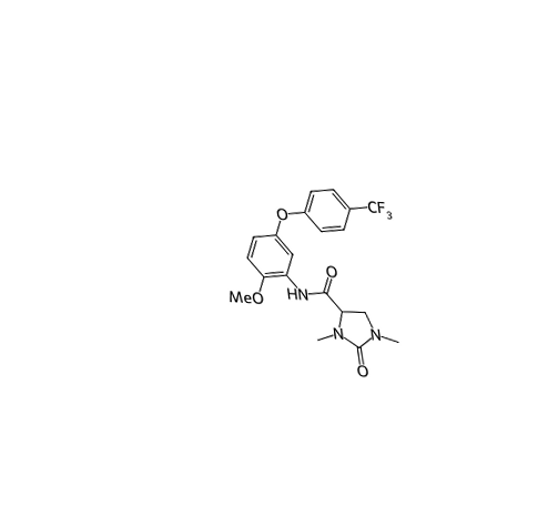 COc1ccc(Oc2ccc(C(F)(F)F)cc2)cc1NC(=O)C1CN(C)C(=O)N1C